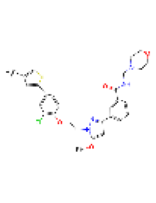 CCOc1cc(-c2cccc(C(=O)NCN3CCOCC3)c2)nn1CCOc1ccc(-c2cc(C)cs2)cc1Cl